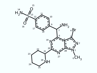 Cn1nc(Br)c2c(C(N)c3ccc(S(N)(=O)=O)cc3)nc(C3CCCCN3)nc21